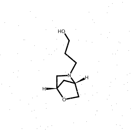 OCCCN1C[C@@H]2C[C@H]1CO2